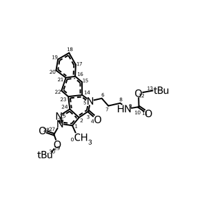 Cc1c2c(=O)n(CCCNC(=O)OC(C)(C)C)c3cc4ccccc4cc3c2nn1C(=O)OC(C)(C)C